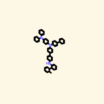 CC1C=CC=CC1c1ccccc1Nc1ccc(-c2ccc(N(c3ccc(-c4ccccc4)cc3)c3ccc(N(c4ccccc4)c4ccccc4)cc3)cc2)cc1